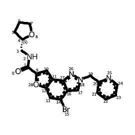 O=C(NC[C@@H]1CCCO1)c1cc2c(cc(Br)c3cn(Cc4ccccn4)nc32)o1